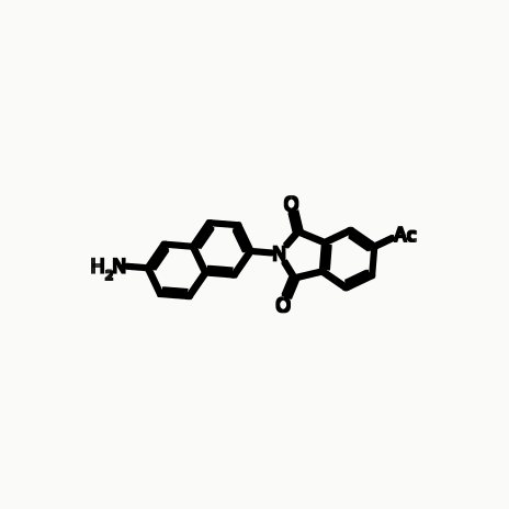 CC(=O)c1ccc2c(c1)C(=O)N(c1ccc3cc(N)ccc3c1)C2=O